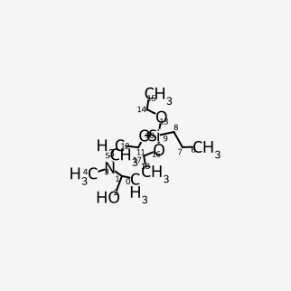 CC(O)N(C)C.CCC[Si](OCC)(OCC)OCC